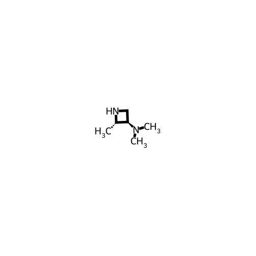 C[C@@H]1NC[C@H]1N(C)C